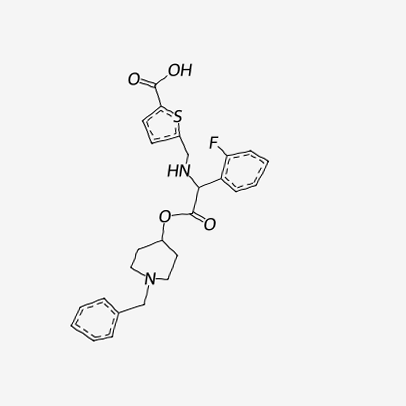 O=C(O)c1ccc(CNC(C(=O)OC2CCN(Cc3ccccc3)CC2)c2ccccc2F)s1